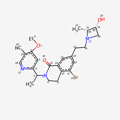 CCOc1cc(C(C)N2CCc3c(Br)cc(CCN4C[C@@H](O)[C@H]4C)cc3C2=O)ncc1C#N